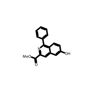 COC(=O)c1cc2cc(O)ccc2c(-c2ccccc2)n1